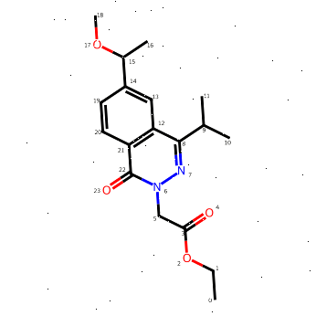 CCOC(=O)Cn1nc(C(C)C)c2cc(C(C)OC)ccc2c1=O